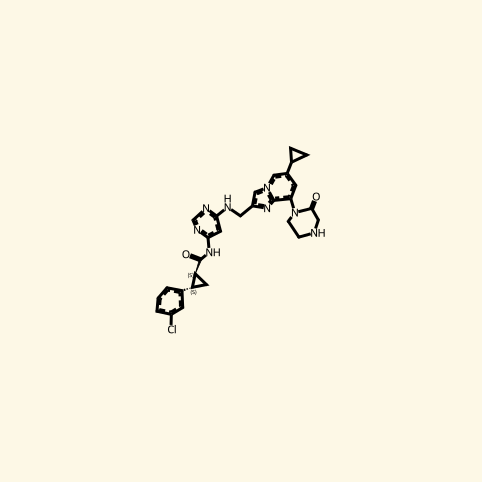 O=C(Nc1cc(NCc2cn3cc(C4CC4)cc(N4CCNCC4=O)c3n2)ncn1)[C@H]1C[C@@H]1c1cccc(Cl)c1